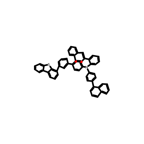 c1cc(-c2ccc(N(c3ccc(-c4cccc5ccccc45)cc3)c3ccccc3-c3ccc4ccccc4c3)cc2)cc(-c2cccc3c2sc2ccccc23)c1